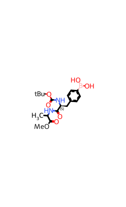 COC(=O)C(C)NC(=O)[C@H](Cc1ccc(B(O)O)cc1)NC(=O)OC(C)(C)C